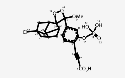 COC1(c2ccc(C#CC(=O)O)c(OP(=O)(O)O)c2)OOC12C1CC3CC2CC(Cl)(C3)C1